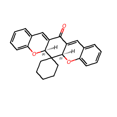 O=C1C2=Cc3ccccc3O[C@H]2C2(CCCCC2)[C@H]2Oc3ccccc3C=C12